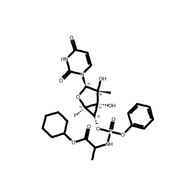 CC(NP(=O)(Oc1ccccc1)O[C@H]1[C@]2(O)[C@@](C)(O)[C@H](n3ccc(=O)[nH]c3=O)O[C@]12F)C(=O)OC1CCCCC1